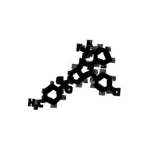 Cc1ccc(S(=O)(=O)N2Cc3nn(-c4ccccc4C(F)(F)F)c(-c4ccc(Cl)cc4)c3C2)cc1